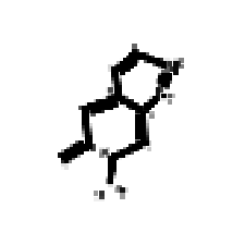 C=C/C=c1/ccnn/c1=C/CC(C)C